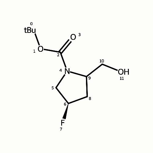 CC(C)(C)OC(=O)N1C[C@H](F)CC1CO